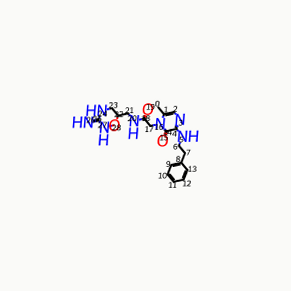 Cc1cnc(NCCc2ccccc2)c(=O)n1CC(=O)NCC1CNC(=N)NO1